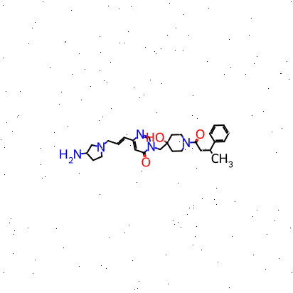 CC(CC(=O)N1CCC(O)(Cn2cnc(/C=C/CN3CCC(N)C3)cc2=O)CC1)c1ccccc1